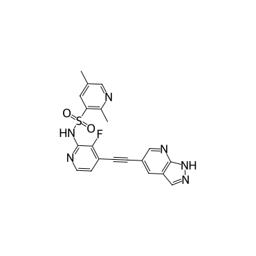 Cc1cnc(C)c(S(=O)(=O)Nc2nccc(C#Cc3cnc4[nH]ncc4c3)c2F)c1